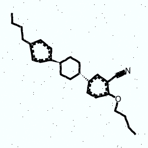 CCCCOc1ccc([C@H]2CC[C@H](c3ccc(CCCC)cc3)CC2)cc1C#N